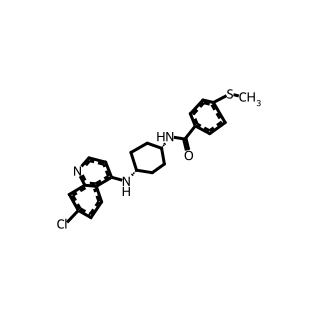 CSc1ccc(C(=O)N[C@H]2CC[C@@H](Nc3ccnc4cc(Cl)ccc34)CC2)cc1